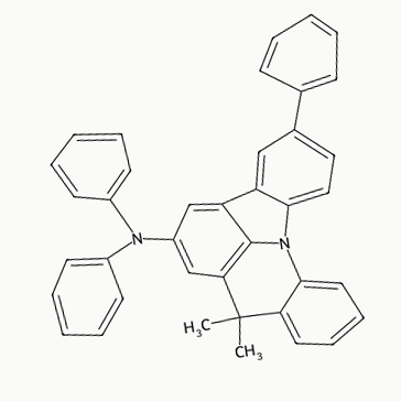 CC1(C)c2ccccc2-n2c3ccc(-c4ccccc4)cc3c3cc(N(c4ccccc4)c4ccccc4)cc1c32